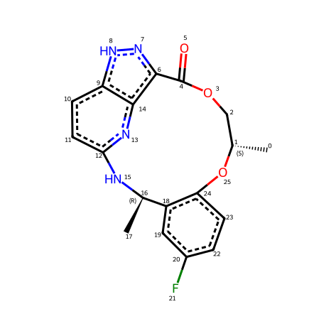 C[C@H]1COC(=O)c2n[nH]c3ccc(nc23)N[C@H](C)c2cc(F)ccc2O1